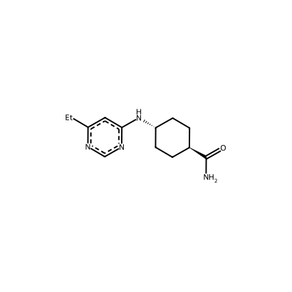 CCc1cc(N[C@H]2CC[C@H](C(N)=O)CC2)ncn1